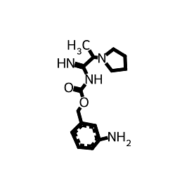 CC(C(=N)NC(=O)OCc1cccc(N)c1)N1CCCC1